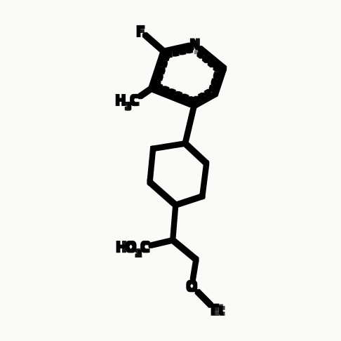 CCOCC(C(=O)O)C1CCC(c2ccnc(F)c2C)CC1